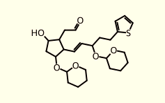 O=CCC1C(O)CC(OC2CCCCO2)C1C=CC(CCc1cccs1)OC1CCCCO1